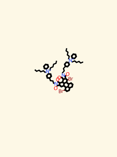 CCCCCC[N+](CCCCCC)(c1ccccc1)c1ccc(CCCn2c(=O)c3cc4c5c(Br)ccc6cccc(c7c(Br)c8c(=O)n(CCCc9ccc([N+](CCCCCC)(CCCCCC)c%10ccccc%10)cc9)c(=O)c8c(c3c2=O)c47)c65)cc1